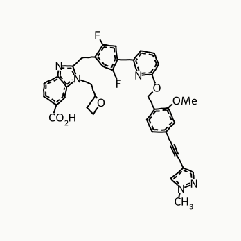 COc1cc(C#Cc2cnn(C)c2)ccc1COc1cccc(-c2cc(F)c(Cc3nc4ccc(C(=O)O)cc4n3CC3CCO3)cc2F)n1